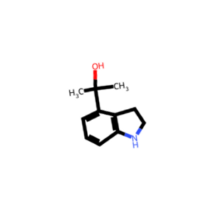 CC(C)(O)c1cccc2c1CCN2